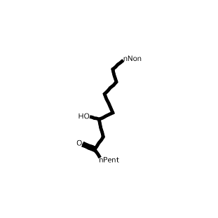 [CH2]CCCCC(=O)CC(O)CCCCCCCCCCCCC